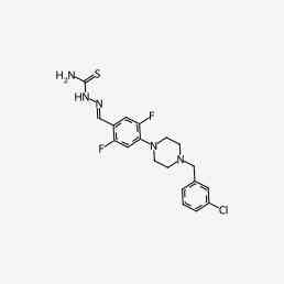 NC(=S)N/N=C/c1cc(F)c(N2CCN(Cc3cccc(Cl)c3)CC2)cc1F